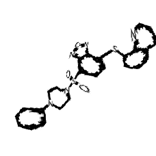 O=S(=O)(c1ccc(Sc2cccc3cccnc23)c2nonc12)N1CCN(c2ccccc2)CC1